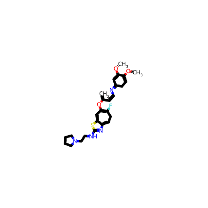 C=C(/C=C\N=C1\C=C(OC)C(OC)=CC1)OC1=C(F)CC=c2nc(NCCN3CCCC3)sc2=C1